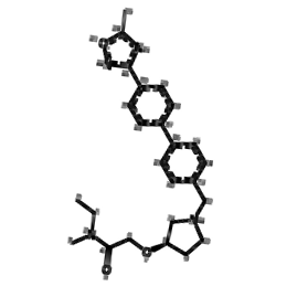 CCN(C)C(=O)CO[C@@H]1CCN(Cc2ccc(-c3ccc(-c4noc(C)n4)cc3)cc2)C1